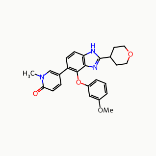 COc1cccc(Oc2c(-c3ccc(=O)n(C)c3)ccc3[nH]c(C4CCOCC4)nc23)c1